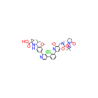 COc1cc(-c2nccc(-c3cccc(-c4ccc(CN(C[C@@H]5CCC(=O)N5)C(=O)OC(C)(C)C)c(OC)n4)c3Cl)c2Cl)ccc1[C@@H](NC1(C(=O)O)CC1)C(C)C